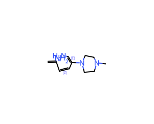 C=C(N)/C=C\C(=C/N)N1CCN(C)CC1